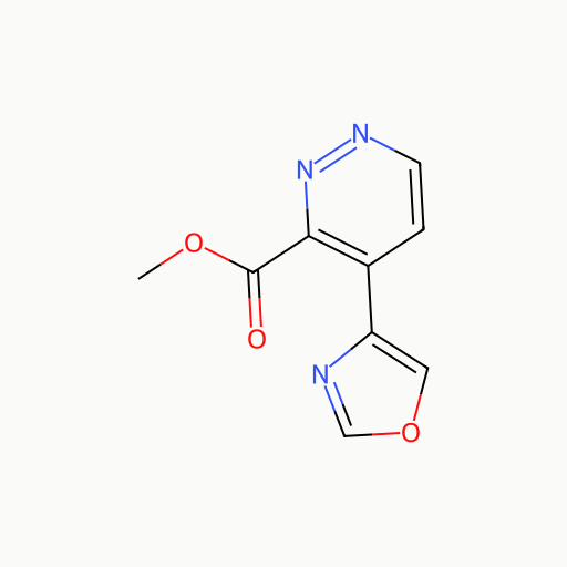 COC(=O)c1nnccc1-c1cocn1